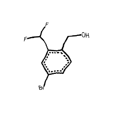 OCc1ccc(Br)cc1C(F)F